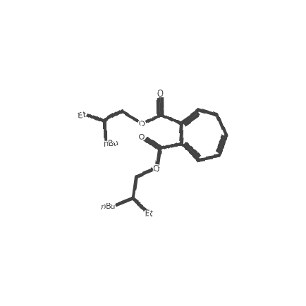 CCCCC(CC)COC(=O)C1=CC=CCC=C1C(=O)OCC(CC)CCCC